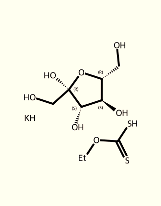 CCOC(=S)S.OC[C@H]1O[C@](O)(CO)[C@@H](O)[C@@H]1O.[KH]